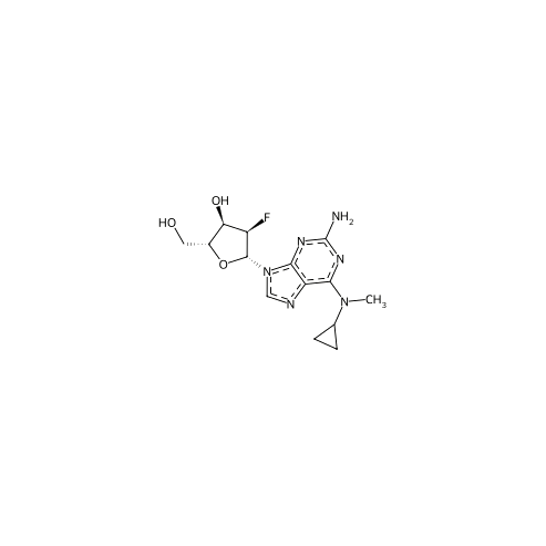 CN(c1nc(N)nc2c1ncn2[C@@H]1O[C@H](CO)[C@@H](O)[C@H]1F)C1CC1